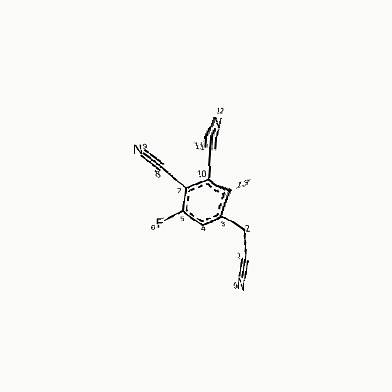 N#CCc1cc(F)c(C#N)c(C#N)c1